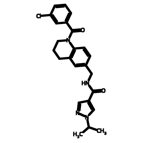 CC(C)n1cc(C(=O)NCc2ccc3c(c2)CCCN3C(=O)c2cccc(Cl)c2)cn1